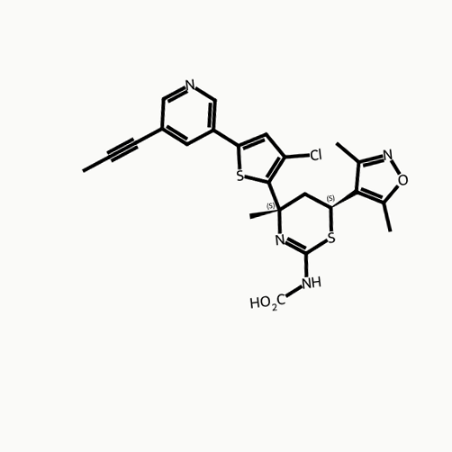 CC#Cc1cncc(-c2cc(Cl)c([C@]3(C)C[C@@H](c4c(C)noc4C)SC(NC(=O)O)=N3)s2)c1